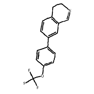 FC(F)(F)Oc1ccc(-c2ccc3c(c2)C=NCC3)cc1